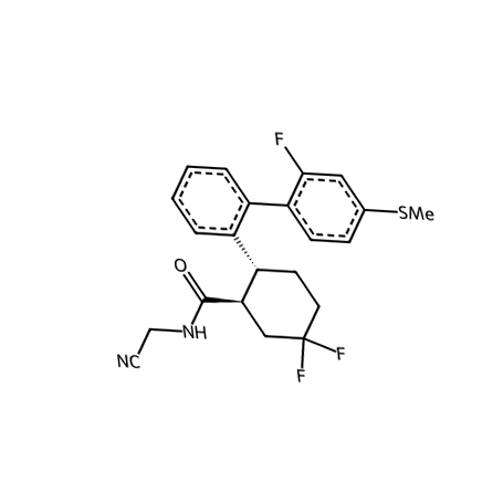 CSc1ccc(-c2ccccc2[C@@H]2CCC(F)(F)C[C@H]2C(=O)NCC#N)c(F)c1